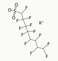 O=S(=O)([O-])C(F)C(F)(F)C(F)(F)C(F)(F)C(F)C(F)C(F)C(F)F.[K+]